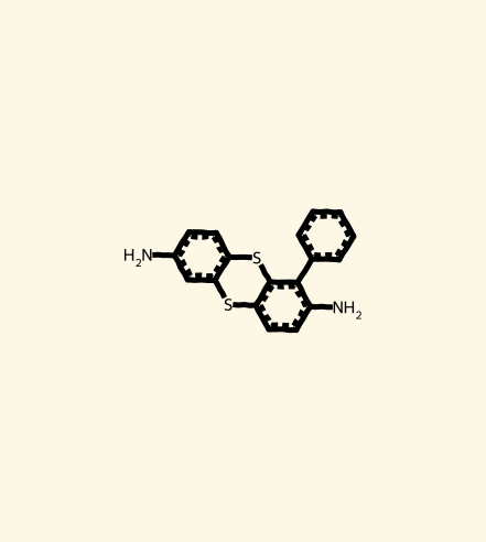 Nc1ccc2c(c1)Sc1ccc(N)c(-c3ccccc3)c1S2